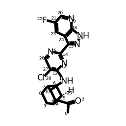 CC(=O)[C@H]1C2CCC(CC2)C1Nc1nc(-c2n[nH]c3ncc(F)cc23)ncc1Cl